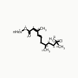 CCCCCCOC(=O)C=C(C)C=CCC(C)CCC(C)(C)Cl